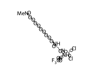 CNC(=O)CCOCCOCCOCCOCCOCCOCCOCCOCCOCCNC(=O)CCCCCOc1cc(NC2CCN(S(=O)(=O)C(F)(F)F)CC2)c2cc(C(c3ccc(Cl)cc3)c3ccc(Cl)cc3)ccc2n1